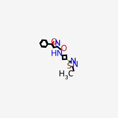 CCc1nnc([C@H]2C[C@H](NC(=O)c3cc(-c4ccccc4)on3)C2)s1